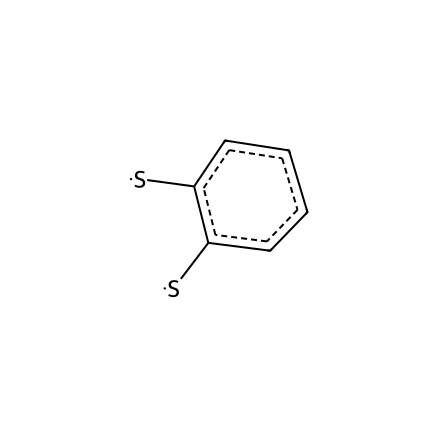 [S]c1ccccc1[S]